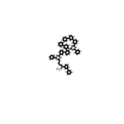 N/C(=C\C=C/Cc1nc(-c2ccccc2)nc(-c2cccc(-c3cccc4c3c3cc(-c5ccccc5)ccc3n4-c3nc(-c4ccccc4)nc(-c4cccc(-c5cccc(-c6ccccc6)c5)c4)n3)c2)n1)c1cccc(-c2ccccc2)c1